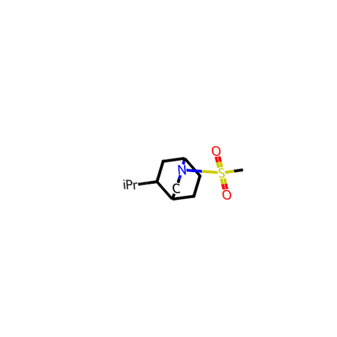 CC(C)C1CC2CCC1CN2S(C)(=O)=O